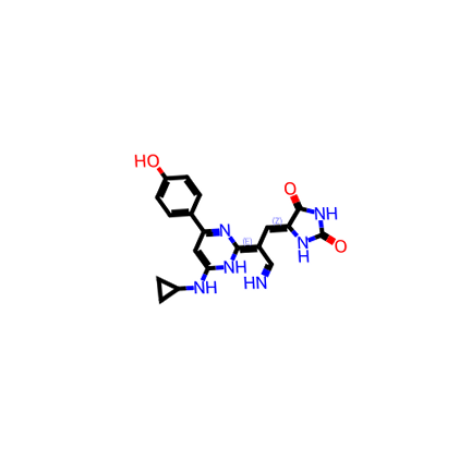 N=CC(/C=C1\NC(=O)NC1=O)=C1/N=C(c2ccc(O)cc2)C=C(NC2CC2)N1